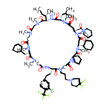 CC[C@H](C)[C@@H]1NC(=O)[C@H](CC(C)C)N(C)C(=O)C[C@@H](C(=O)N2CCCCC2)N(C)C(=O)[C@H](C2CCCCC2)N(C)C(=O)C2(CCCC2)NC(=O)CN(CCCN2CCC(F)(F)CC2)C(=O)[C@H](CCc2ccc(C(F)(F)F)c(Cl)c2)NC(=O)CN(C)C(=O)[C@H](CC2CCCCC2)N(C)C(=O)CN(C)C(=O)CN(C)C1=O